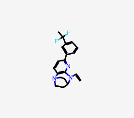 C=CN1c2nc(-c3cccc(C(C)(F)F)c3)ccc2N2CCC1CC2